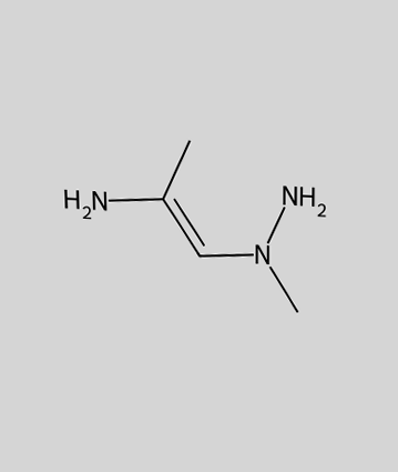 C/C(N)=C\N(C)N